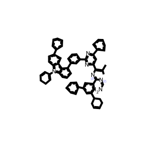 CC(C)=C(/N=C(\N=C/N)c1cc(-c2ccccc2)cc(C2CC=CCC2)c1)c1cc(-c2ccccc2)nc(-c2cccc(-c3cccc4c3c3cc(-c5ccccc5)ccc3n4C3=CCCC=C3)c2)n1